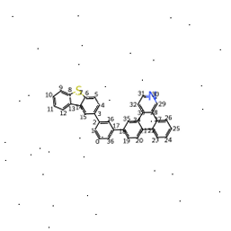 c1cc(-c2ccc3sc4ccccc4c3c2)cc(-c2ccc3c4ccccc4c4cnccc4c3c2)c1